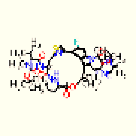 C=C(/C=N\C(=C\c1c2c3cc(c(F)cc3n1CC)-c1csc(n1)C[C@H](NC(=O)[C@H](C(C)C)N(C)C(=O)OC(C)(C)C)C(=O)N1CCC[C@H](N1)C(=O)OCC(C)(C)C2)[C@H](C)OC)N1CCOCC1